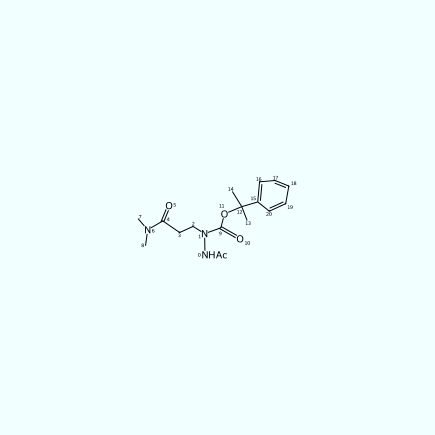 CC(=O)NN(CCC(=O)N(C)C)C(=O)OC(C)(C)c1ccccc1